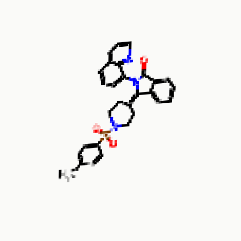 Cc1ccc(S(=O)(=O)N2CCC(=C3c4ccccc4C(=O)N3c3cccc4cccnc34)CC2)cc1